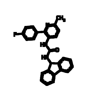 Cc1ccc(NC(=O)NC2c3ccccc3-c3ccccc32)c(-c2ccc(F)cc2)n1